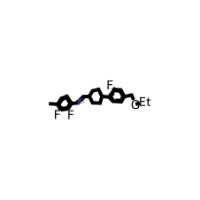 CCOCc1ccc(C2CCC(/C=C/c3ccc(C)c(F)c3F)CC2)c(F)c1